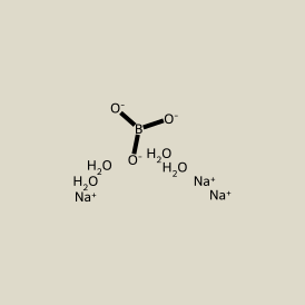 O.O.O.O.[Na+].[Na+].[Na+].[O-]B([O-])[O-]